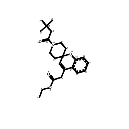 CCOC(=O)CC1=CC2(CCN(C(=O)CC(C)(C)C)CC2)Oc2ccccc21